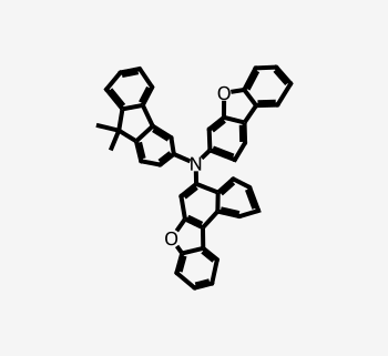 CC1(C)c2ccccc2-c2cc(N(c3ccc4c(c3)oc3ccccc34)c3cc4oc5ccccc5c4c4ccccc34)ccc21